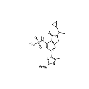 CC(=O)Nc1nc(C)c(-c2cc3c(c(NS(=O)(=O)C(C)(C)C)c2)C(=O)N(C(C)C2CC2)C3)s1